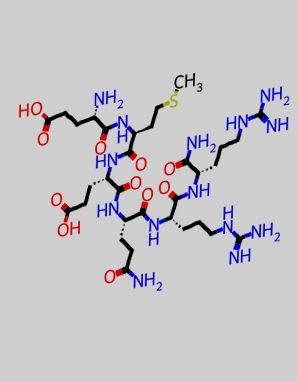 CSCC[C@H](NC(=O)[C@@H](N)CCC(=O)O)C(=O)N[C@@H](CCC(=O)O)C(=O)N[C@@H](CCC(N)=O)C(=O)N[C@@H](CCCNC(=N)N)C(=O)N[C@@H](CCCNC(=N)N)C(N)=O